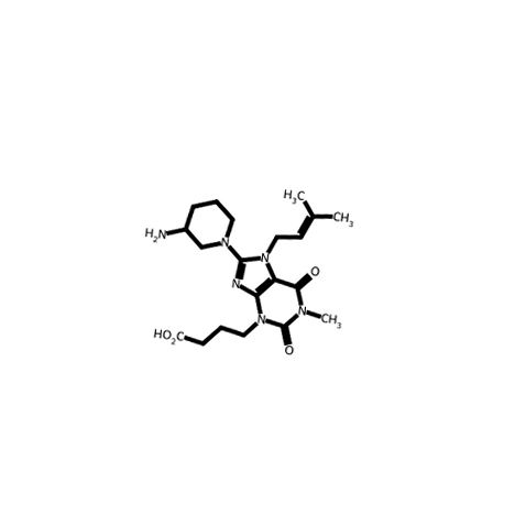 CC(C)=CCn1c(N2CCCC(N)C2)nc2c1c(=O)n(C)c(=O)n2CCCC(=O)O